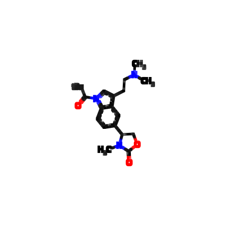 CN(C)CCc1cn(C(=O)C(C)(C)C)c2ccc(C3COC(=O)N3C)cc12